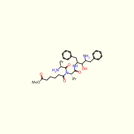 COC(=O)CCCCC(=O)N(C(=O)[C@@H](N)C(C)C)[C@H](C(=O)NC(Cc1ccccc1)C(O)C(N)Cc1ccccc1)C(C)C